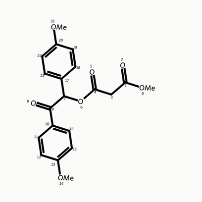 COC(=O)CC(=O)OC(C(=O)c1ccc(OC)cc1)c1ccc(OC)cc1